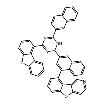 c1ccc2cc(C3=NC(c4cccc5oc6ccccc6c45)=NC(c4cc(-c5cccc6oc7ccncc7c56)c5ccccc5c4)N3)ccc2c1